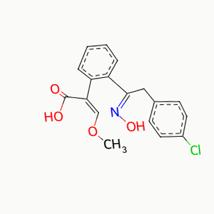 COC=C(C(=O)O)c1ccccc1C(Cc1ccc(Cl)cc1)=NO